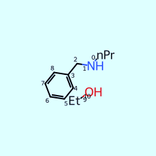 CCCNCc1ccccc1.CCO